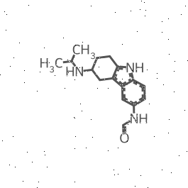 CC(C)NC1CCc2[nH]c3ccc(NC=O)cc3c2C1